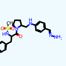 CS(=O)(=O)NC(Cc1ccccc1)C(=O)N1CCCC1CNc1ccc(C=NN)cc1